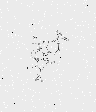 CC(C)=CC12CCC3C(C(C=C(CO)C(O)C1OC(=O)N(C)CC1CC1)C2=O)C3(C)C